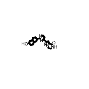 O=C1NCCn2nc(-c3ccnc(-c4ccc5cc(O)ccc5c4)n3)cc21